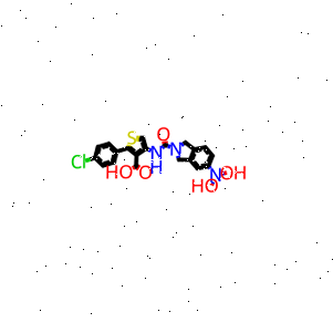 O=C(O)c1c(NC(=O)N2Cc3ccc(N(O)O)cc3C2)csc1-c1ccc(Cl)cc1